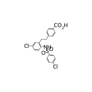 O=C(O)c1ccc(CCc2cc(Cl)ccc2NS(=O)(=O)c2ccc(Cl)cc2)cc1